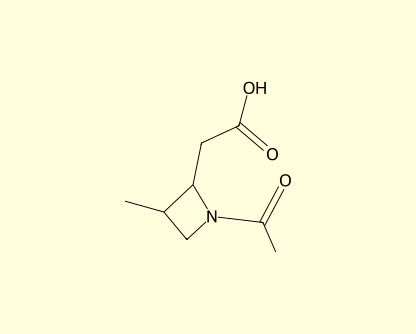 CC(=O)N1CC(C)C1CC(=O)O